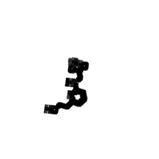 CC(C)(C)OC(=O)CNc1cccc(CCO)n1